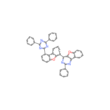 c1ccc(-c2nc(-c3ccccc3)nc(-c3cccc4oc5c(-c6nc(-c7ccccc7)nc7c6oc6ccccc67)cccc5c34)n2)cc1